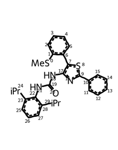 CSc1ccccc1-c1sc(-c2ccccc2)nc1NC(=O)Nc1c(C(C)C)cccc1C(C)C